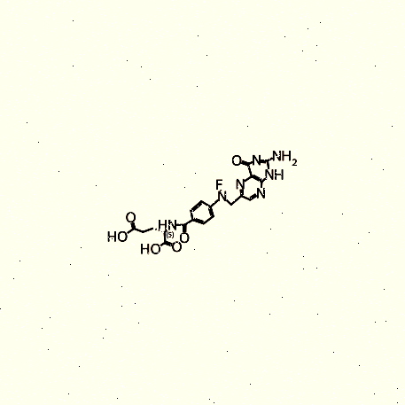 Nc1nc(=O)c2nc(CN(F)c3ccc(C(=O)N[C@@H](CCC(=O)O)C(=O)O)cc3)cnc2[nH]1